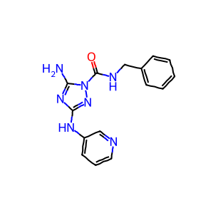 Nc1nc(Nc2cccnc2)nn1C(=O)NCc1ccccc1